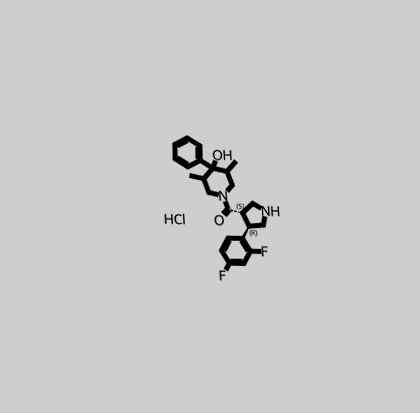 CC1CN(C(=O)[C@@H]2CNC[C@H]2c2ccc(F)cc2F)CC(C)C1(O)c1ccccc1.Cl